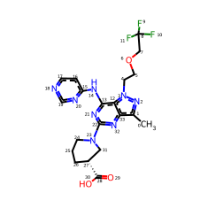 Cc1nn(CCOCC(F)(F)F)c2c(Nc3ccncn3)nc(N3CCC[C@@H](C(=O)O)C3)nc12